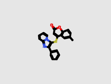 Cc1ccc2oc(=O)cc(Sc3c(-c4ccccc4)nc4ccccn34)c2c1